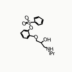 CC(C)NCC(O)COc1ccccc1OS(=O)(=O)c1ccccc1